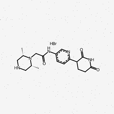 Br.C[C@@H]1CNC[C@H](C)N1CC(=O)Nc1ccc(C2CCC(=O)NC2=O)nc1